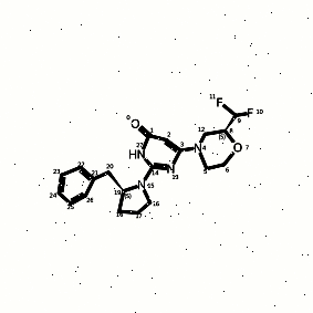 O=c1cc(N2CCO[C@H](C(F)F)C2)nc(N2CCC[C@H]2Cc2ccccc2)[nH]1